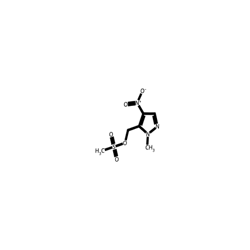 Cn1ncc([N+](=O)[O-])c1COS(C)(=O)=O